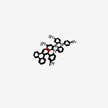 CC(C)c1ccc(N2c3ccc(C(C)C)cc3B3c4cc(C(C)C)ccc4N(c4ccc(C(C)C)cc4-c4cccc5c6ccccc6c6ccccc6c45)c4cccc2c43)cc1